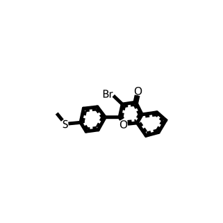 CSc1ccc(-c2oc3ccccc3c(=O)c2Br)cc1